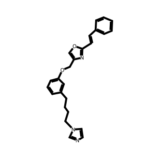 C(=C\c1nc(COc2cccc(CCCCn3ccnc3)c2)co1)/c1ccccc1